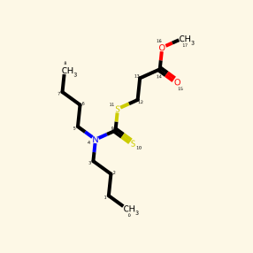 CCCCN(CCCC)C(=S)SCCC(=O)OC